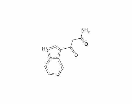 NC(=O)CC(=O)c1c[nH]c2ccccc12